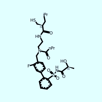 CCCC(=O)N(CCNC(=O)[C@@H](CS)CC(C)C)Cc1ccc(-c2ccccc2S(=O)(=O)NC(=O)[C@H](C)O)cc1F